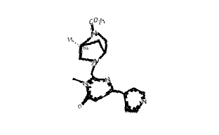 Cn1c(N2C[C@@H]3CC2CN3C(=O)O)nc(-c2ccncc2)cc1=O